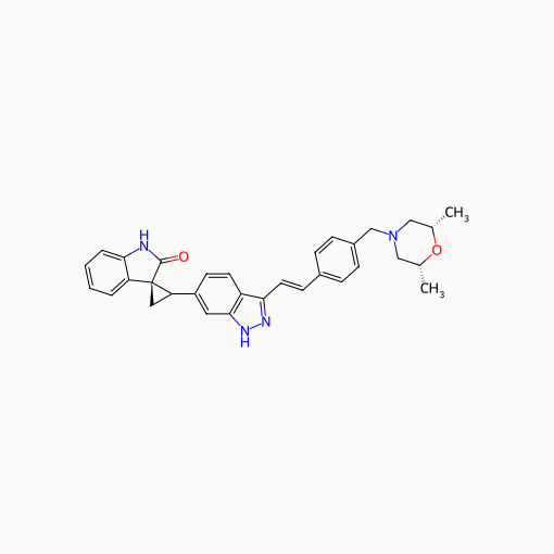 C[C@@H]1CN(Cc2ccc(/C=C/c3n[nH]c4cc(C5C[C@@]56C(=O)Nc5ccccc56)ccc34)cc2)C[C@H](C)O1